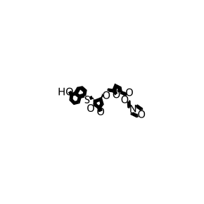 O=C1C[C@H](COCc2ccc(C(=O)OCCN3CCOCC3)o2)[C@@H](CSc2cccc3c2CCCC3O)C1=O